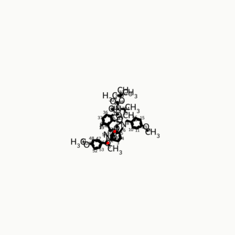 COc1ccc(CN(Cc2ccc(OC)cc2)S(=O)(=O)c2c(S(=O)(=O)N(C(=O)OC(C)(C)C)C(C)C)ccc(I)c2-c2nnn(Cc3ccc(OC)cc3)n2)cc1